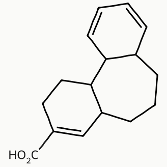 O=C(O)C1=CC2CCCC3C=CC=CC3C2CC1